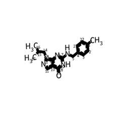 Cc1ccc(CNc2nc3c(cnn3CC(C)C)c(=O)[nH]2)cc1